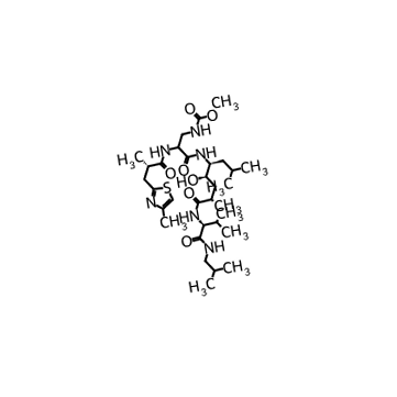 COC(=O)NCC(NC(=O)[C@@H](C)Cc1nc(C)cs1)C(=O)N[C@@H](CC(C)C)[C@H](O)C[C@@H](C)C(=O)N[C@H](C(=O)NCC(C)C)C(C)C